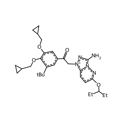 CCC(CC)Oc1ccc2n(n1)c(N)n[n+]2CC(=O)c1cc(OCC2CC2)c(OCC2CC2)c(C(C)(C)C)c1